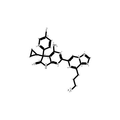 Nc1nc(-c2cn3ncnc3c(CCCC(F)(F)F)n2)nc2c1C(c1ccc(F)cn1)(C1CC1)C(=O)N2